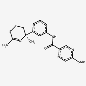 CSc1cnc(C(=O)Nc2cccc([C@]3(C)CCSC(N)=N3)c2)cn1